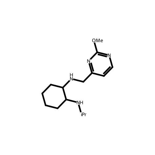 COc1nccc(CNC2CCCCC2NC(C)C)n1